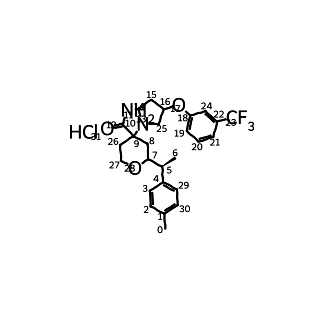 Cc1ccc([C@H](C)C2CC(C(N)=O)(N3CCC(Oc4cccc(C(F)(F)F)c4)C3)CCO2)cc1.Cl